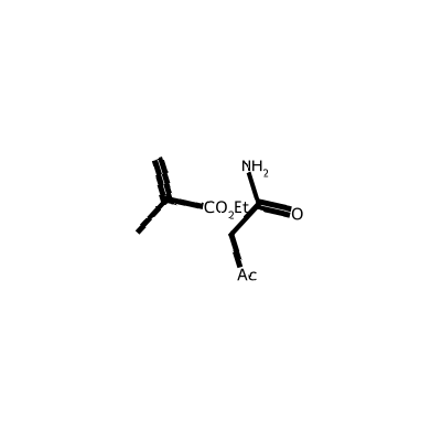 C=C(C)C(=O)OCC.CC(=O)CC(N)=O